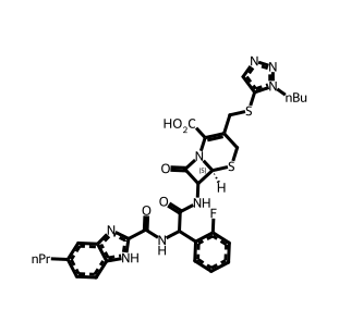 CCCCn1nncc1SCC1=C(C(=O)O)N2C(=O)C(NC(=O)C(NC(=O)c3nc4cc(CCC)ccc4[nH]3)c3ccccc3F)[C@@H]2SC1